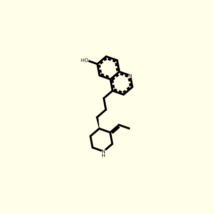 C/C=C1\CNCC[C@H]1CCCc1ccnc2ccc(O)cc12